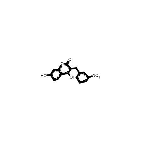 O=c1oc2cc(O)ccc2c(O)c1Cc1cccc([N+](=O)[O-])c1